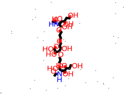 COC(O)C(O)C(OCCCOC(O)/C(NC(C)=O)=C(/O)C(O)CCO)C(O)CCOCCCOC(O)/C(NC(C)=O)=C(/O)C(O)CCO